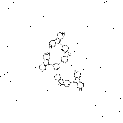 c1cc2c3ccncc3n(-c3cc(-c4ccc5oc6ccc(-n7c8cnccc8c8ccncc87)cc6c5c4)cc(-c4ccc5oc6ccc(-n7c8cnccc8c8ccncc87)cc6c5c4)c3)c2cn1